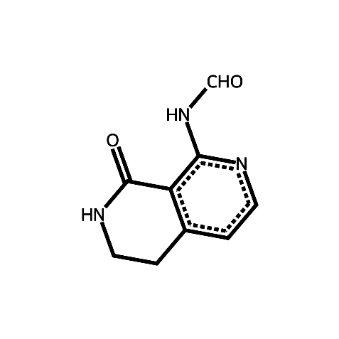 O=CNc1nccc2c1C(=O)NCC2